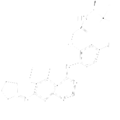 COc1c(N=S2CCCC2)cc2ncnc(Nc3ccc(F)cc3O[C@H](C)C(=O)N[C@@H](C)C(F)(F)F)c2c1C